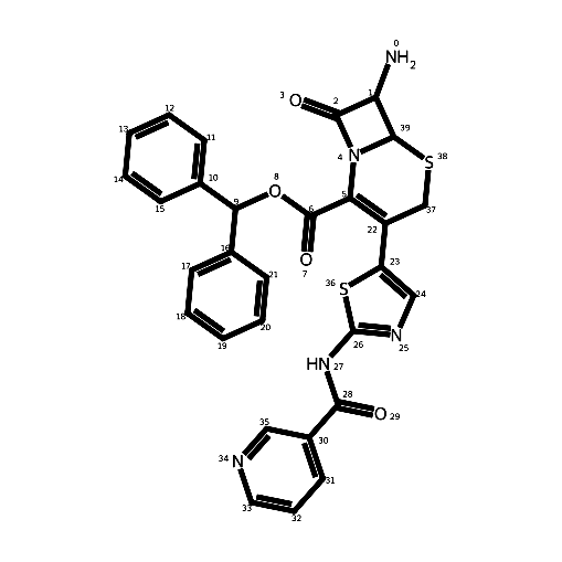 NC1C(=O)N2C(C(=O)OC(c3ccccc3)c3ccccc3)=C(c3cnc(NC(=O)c4cccnc4)s3)CSC12